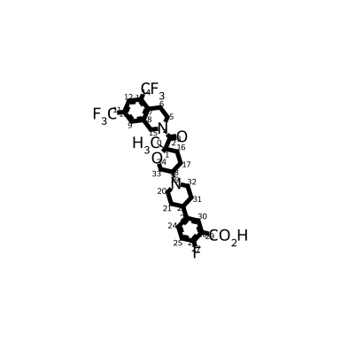 C[C@]1(C(=O)N2CCc3c(cc(C(F)(F)F)cc3C(F)(F)F)C2)CC[C@@H](N2CCC(c3ccc(F)c(C(=O)O)c3)CC2)CO1